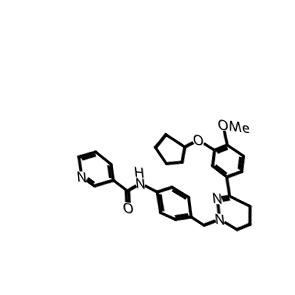 COc1ccc(C2=NN(Cc3ccc(NC(=O)c4cccnc4)cc3)CCC2)cc1OC1CCCC1